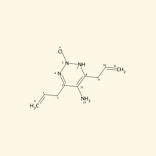 C=CCC1=NN(Cl)NC(CC=C)=C1N